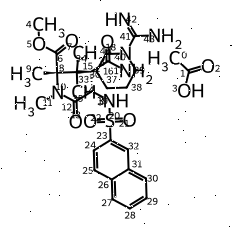 CC(=O)O.COC(=O)[C@@](C)(N(C)C(=O)[C@H](CC(N)=O)NS(=O)(=O)c1ccc2ccccc2c1)C(C)(C)[C@@H]1CCCN(C(=N)N)C1